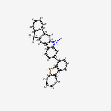 Cn1c2cc(-c3cccc4c3sc3ccccc34)ccc2c2cc3c(cc21)-c1ccccc1C3(C)C